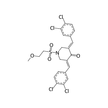 COCCS(=O)(=O)N1C/C(=C\c2ccc(Cl)c(Cl)c2)C(=O)/C(=C/c2ccc(Cl)c(Cl)c2)C1